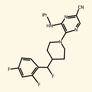 CC(C)Nc1nc(C#N)cnc1N1CCC(C(F)c2ccc(F)cc2F)CC1